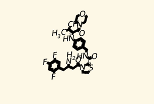 CC(C)[C@H](Nc1ccc(CNC(=O)[C@@H]2SCCN2C(=O)CC(N)Cc2cc(F)c(F)cc2F)cc1)C(=O)N1CCOCC1